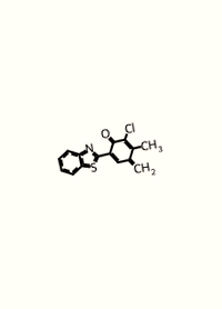 C=C1C=C(c2nc3ccccc3s2)C(=O)C(Cl)=C1C